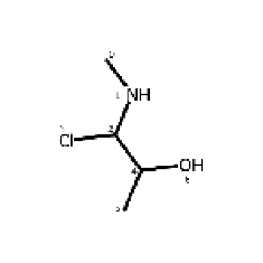 CNC(Cl)C(C)O